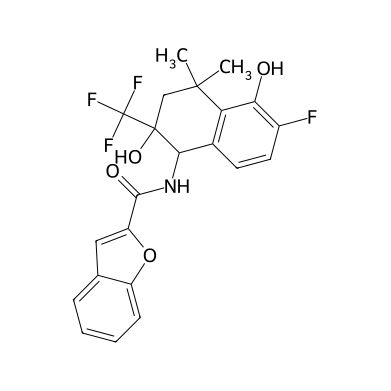 CC1(C)CC(O)(C(F)(F)F)C(NC(=O)c2cc3ccccc3o2)c2ccc(F)c(O)c21